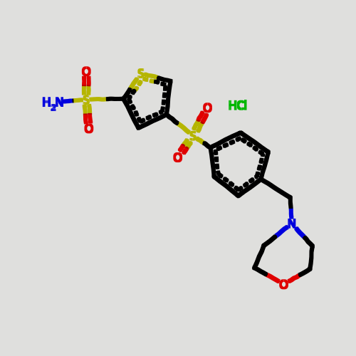 Cl.NS(=O)(=O)c1cc(S(=O)(=O)c2ccc(CN3CCOCC3)cc2)cs1